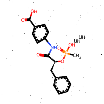 CP(=O)(O)O[C@@H](Cc1ccccc1)C(=O)Nc1ccc(C(=O)O)cc1.[LiH].[LiH]